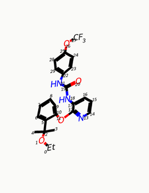 CCOC(C)(C)c1ccccc1Oc1ncccc1NC(=O)Nc1ccc(OC(F)(F)F)cc1